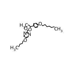 CCCCCCCOc1ccc(C(CC)OC(=O)c2ncc(OCCCCC)cn2)cc1